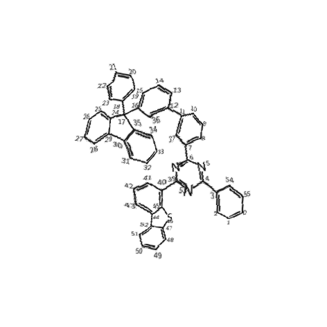 c1ccc(-c2nc(-c3cccc(-c4cccc(C5(c6ccccc6)c6ccccc6-c6ccccc65)c4)c3)nc(-c3cccc4c3sc3ccccc34)n2)cc1